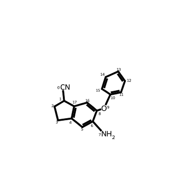 N#CC1CCc2cc(N)c(Oc3ccccc3)cc21